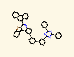 c1ccc(-c2nc(-c3ccccc3)nc(-c3cccc(-c4cccc(-c5ccc6nc(-c7cc8ccccc8c8ccccc78)c7sc8ccccc8c7c6c5)c4)c3)n2)cc1